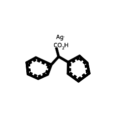 O=C(O)C(c1ccccc1)c1ccccc1.[Ag]